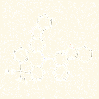 CC1(C)c2ccccc2-c2c(N(c3ccc4sc5ccccc5c4c3)c3cc4oc5c(c4c4ccccc34)CCC=C5)cccc21